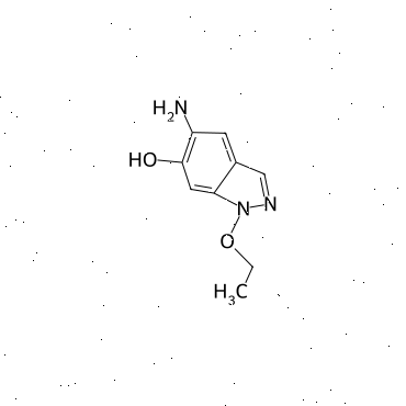 CCOn1ncc2cc(N)c(O)cc21